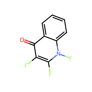 O=c1c(F)c(F)n(F)c2ccccc12